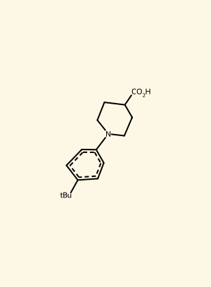 CC(C)(C)c1ccc(N2CCC(C(=O)O)CC2)cc1